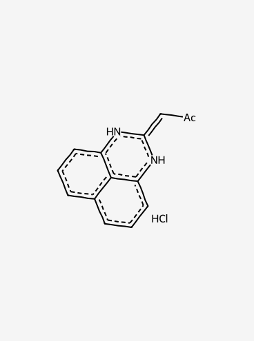 CC(=O)C=c1[nH]c2cccc3cccc([nH]1)c32.Cl